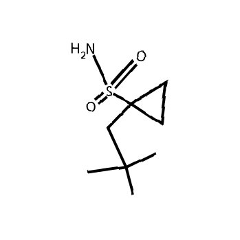 CC(C)(C)CC1(S(N)(=O)=O)CC1